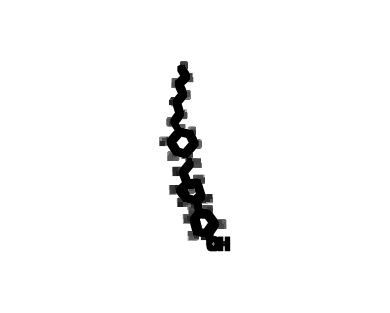 CCCCCCC[C@H]1CC[C@H](CCc2ccc(-c3ccc(O)cc3)cc2)CC1